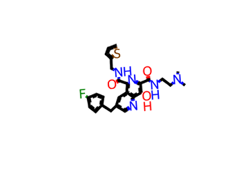 CN(C)CCNC(=O)c1nc(C(=O)NCc2cccs2)c2cc(Cc3ccc(F)cc3)cnc2c1O